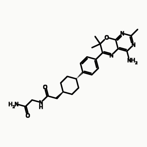 Cc1nc(N)c2c(n1)OC(C)(C)C(c1ccc([C@H]3CC[C@H](CC(=O)NCC(N)=O)CC3)cc1)=N2